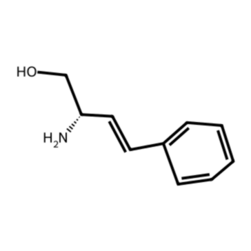 N[C@@H](C=Cc1ccccc1)CO